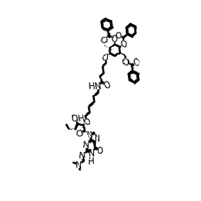 CC[C@H]1O[C@@H](n2cnc3c(=O)[nH]c(/N=C/N(C)C)nc32)[C@@H](OCCCCCCNC(=O)CCCCO[C@@H]2C[C@H](COC(=O)c3ccccc3)[C@H](OC(=O)c3ccccc3)[C@H](OC(=O)c3ccccc3)[C@H]2C)C1O